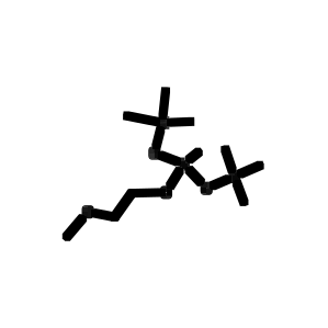 COCCO[Si](C)(O[Si](C)(C)C)O[Si](C)(C)C